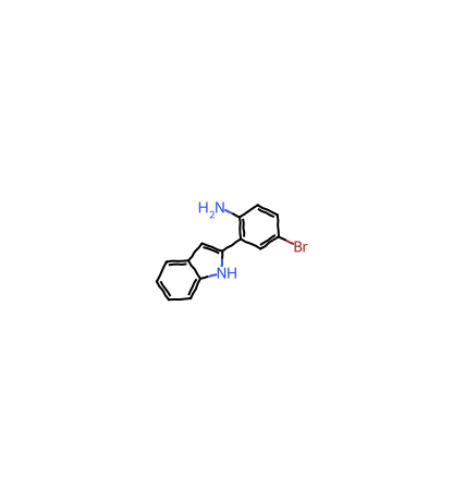 Nc1ccc(Br)cc1-c1cc2ccccc2[nH]1